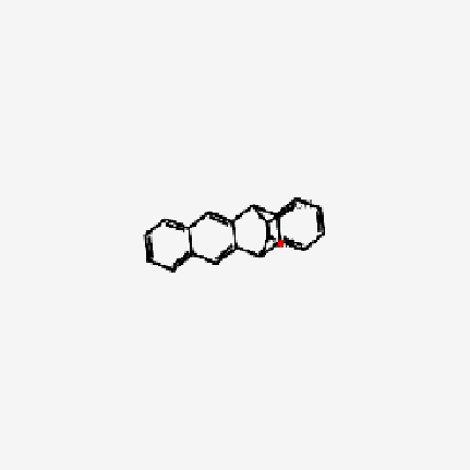 OC1C2c3ccccc3C(c3cc4ccccc4cc32)C1O